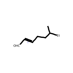 CCC(C)CC/C=C/[C]=O